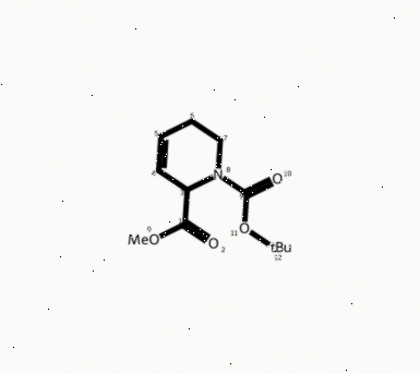 COC(=O)C1C=CCCN1C(=O)OC(C)(C)C